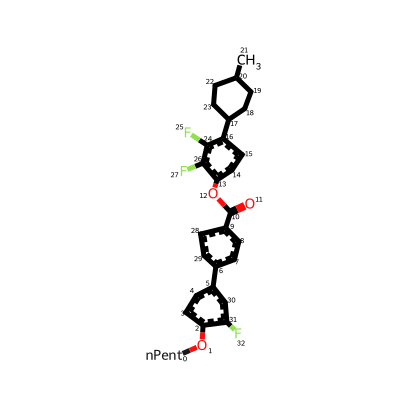 CCCCCOc1ccc(-c2ccc(C(=O)Oc3ccc(C4CCC(C)CC4)c(F)c3F)cc2)cc1F